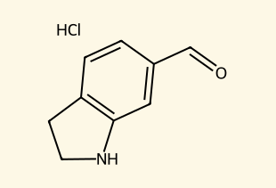 Cl.O=Cc1ccc2c(c1)NCC2